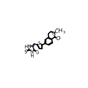 CN1CCc2cc(-c3ccc(/C=C4/NC(=S)NC4=O)s3)ccc2C1=O